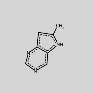 Cc1cc2ncncc2[nH]1